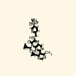 Cc1ncnc(C2CC2)c1-c1ncc2nc(NCc3ccc(S(N)(=O)=O)cn3)c(=O)n([C@@H](C)C3CC3)c2n1